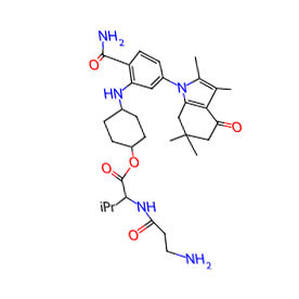 Cc1c2c(n(-c3ccc(C(N)=O)c(NC4CCC(OC(=O)C(NC(=O)CCN)C(C)C)CC4)c3)c1C)CC(C)(C)CC2=O